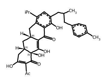 CC(=O)C1=C(O)C[C@@H]2C[C@@H]3Cc4c(C(C)C)cc(CC(C)Cc5ccc(C)cc5)c(O)c4C(=O)C3=C(O)[C@]2(O)C1=O